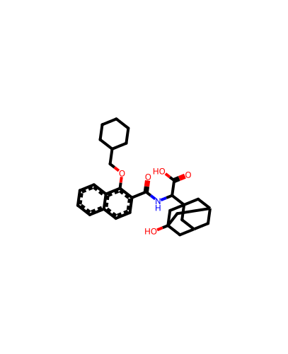 O=C(NC(C(=O)O)C12CC3CC(CC(O)(C3)C1)C2)c1ccc2ccccc2c1OCC1CCCCC1